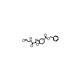 O=CCNC(=O)c1nc2c(o1)CCN(C(=O)OCc1ccccc1)C2